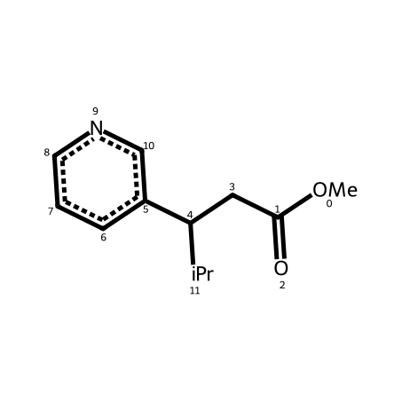 COC(=O)CC(c1cccnc1)C(C)C